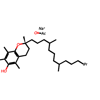 CC(=O)[O-].Cc1c(C)c2c(c(C)c1O)CC[C@@](C)(CCCC(C)CCCC(C)CCCC(C)C)O2.[Na+]